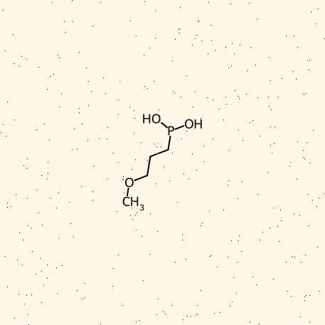 COCCCP(O)O